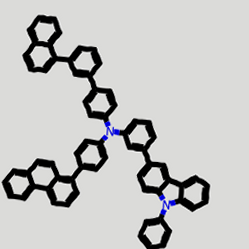 c1ccc(-n2c3ccccc3c3cc(-c4cccc(N(c5ccc(-c6cccc(-c7cccc8ccccc78)c6)cc5)c5ccc(-c6cccc7c6ccc6ccccc67)cc5)c4)ccc32)cc1